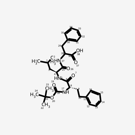 CC(C)C[C@H](NC(=O)[C@H](CCc1ccccc1)NC(=O)OC(C)(C)C)C(=O)NC(Cc1ccccc1)C(=O)O